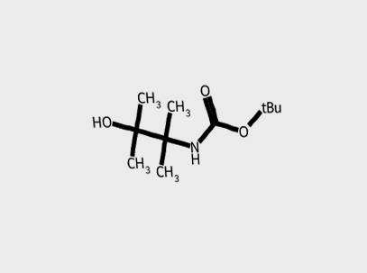 CC(C)(C)OC(=O)NC(C)(C)C(C)(C)O